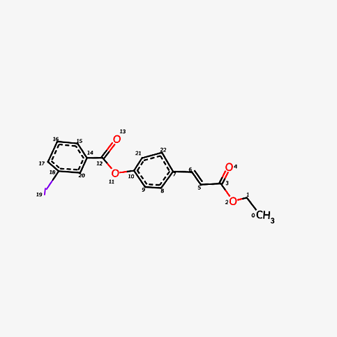 CCOC(=O)/C=C/c1ccc(OC(=O)c2cccc(I)c2)cc1